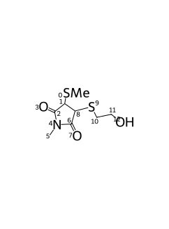 CSC1C(=O)N(C)C(=O)C1SCCO